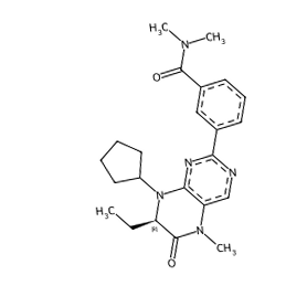 CC[C@@H]1C(=O)N(C)c2cnc(-c3cccc(C(=O)N(C)C)c3)nc2N1C1CCCC1